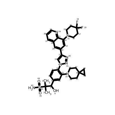 CC(C)(C(O)c1ccc(-n2cc(-c3cc(N4CCC(F)(F)CC4)c4ncccc4c3)nn2)c(N2CCC3(CC2)CC3)c1)S(N)(=O)=O